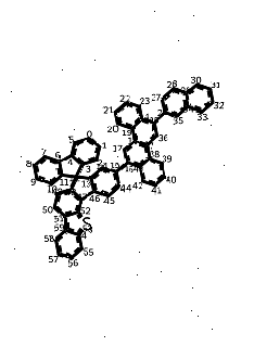 c1ccc2c(c1)-c1ccccc1C21c2cc(-c3cc4c5ccccc5c(-c5ccc6ccccc6c5)cc4c4ccccc34)ccc2-c2c1ccc1c2sc2ccccc21